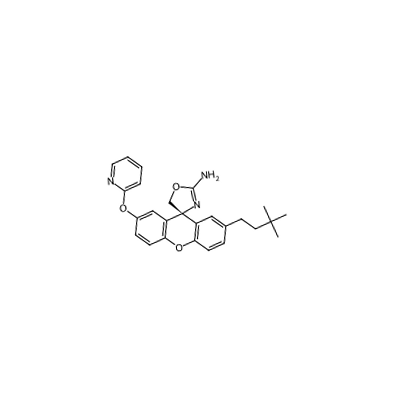 CC(C)(C)CCc1ccc2c(c1)[C@]1(COC(N)=N1)c1cc(Oc3ccccn3)ccc1O2